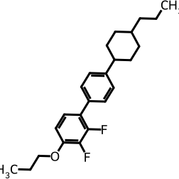 CCCOc1ccc(-c2ccc(C3CCC(CCC)CC3)cc2)c(F)c1F